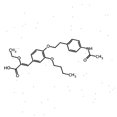 CCCCOc1cc(C=C(OCC)C(=O)O)ccc1OCCc1ccc(NC(C)=O)cc1